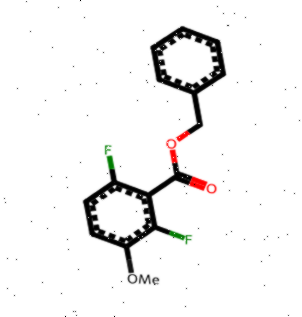 COc1ccc(F)c(C(=O)OCc2ccccc2)c1F